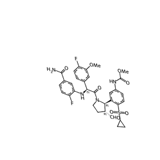 COC(=O)Nc1ccc(S(=O)(=O)C2CC2)c([C@H]2[C@H](C=O)CCN2C(=O)[C@@H](Nc2cc(C(N)=O)ccc2F)c2ccc(F)c(OC)c2)c1